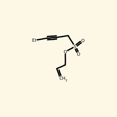 C=CCOS(=O)(=O)CC#CCC